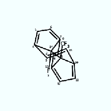 FC(F)(F)C1(C2(F)C3=CC=C2C=C3)C2=CC=C1C=C2